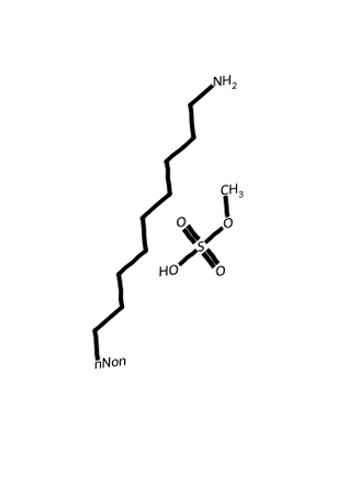 CCCCCCCCCCCCCCCCCCN.COS(=O)(=O)O